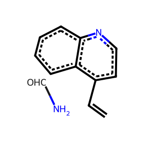 C=Cc1ccnc2ccccc12.NC=O